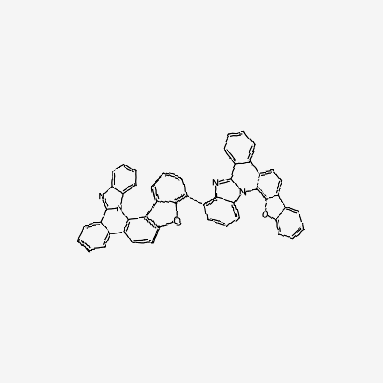 c1ccc2c(c1)nc1c3ccccc3c3ccc4oc5c(-c6cccc7c6nc6c8ccccc8c8ccc9c%10ccccc%10oc9c8n76)cccc5c4c3n21